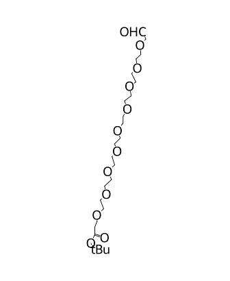 CC(C)(C)OC(=O)CCOCCOCCOCCOCCOCCOCCOCCOCCOCC=O